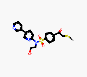 CC(=O)SCC(=O)c1ccc(S(=O)(=O)N(CCO)c2ccc(-c3cccnc3)cn2)cc1